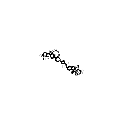 Cn1nc(C2CCC(=O)NC2=O)c2ccc(C3CCN(C4CC(C(=O)Nc5ccc6c(F)c(N7CC(=O)NS7(O)O)c(O)cc6c5)C4)CC3(F)F)cc21